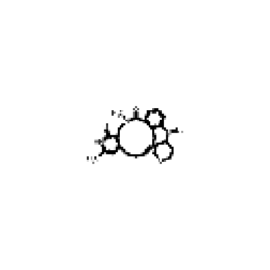 CCN(c1cccc2c1CC=CCCc1cc(C)[nH]c(=O)c1CN(C)C2=O)C1CCOCC1